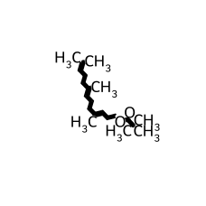 CC(C)=CCC/C(C)=C/CCC(C)=CCCOC(=O)C(C)(C)C